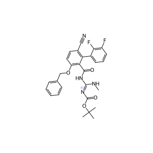 CN/C(=N\C(=O)OC(C)(C)C)NC(=O)c1c(OCc2ccccc2)ccc(C#N)c1-c1cccc(F)c1F